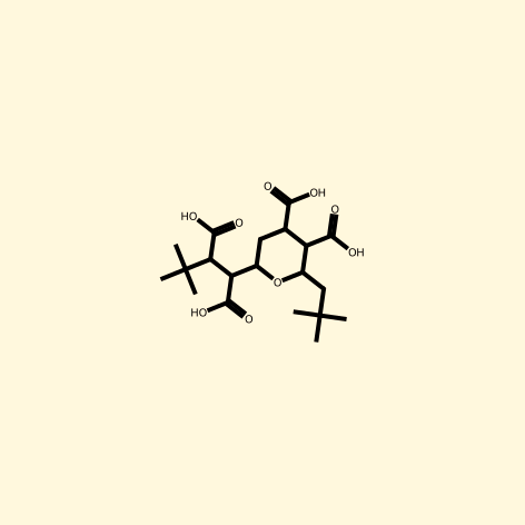 CC(C)(C)CC1OC(C(C(=O)O)C(C(=O)O)C(C)(C)C)CC(C(=O)O)C1C(=O)O